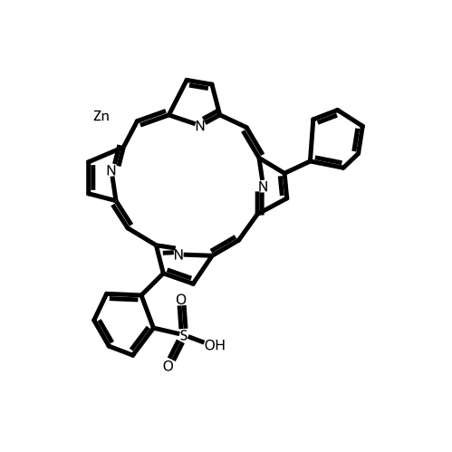 O=S(=O)(O)c1ccccc1C1=CC2=CC3=NC(=CC4=NC(=CC5=NC(=CC1=N2)C=C5)C=C4)C(c1ccccc1)=C3.[Zn]